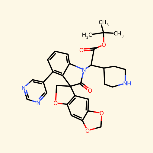 CC(C)(C)OC(=O)C(C1CCNCC1)N1C(=O)C2(COc3cc4c(cc32)OCO4)c2c(-c3cncnc3)cccc21